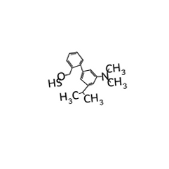 CC(C)c1cc(-c2ccccc2COS)cc(N(C)C)c1